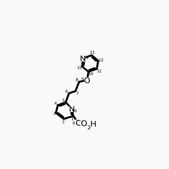 O=C(O)c1cccc(CCCOc2cccnc2)n1